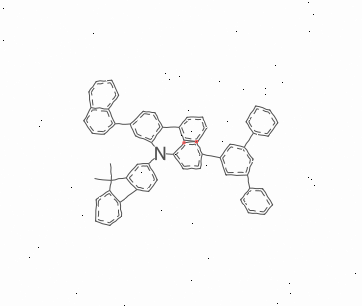 CC1(C)c2ccccc2-c2ccc(N(c3ccc(-c4cc(-c5ccccc5)cc(-c5ccccc5)c4)cc3)c3cc(-c4cccc5ccccc45)ccc3-c3ccccc3)cc21